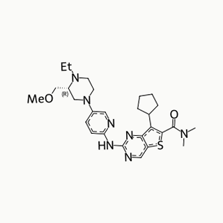 CCN1CCN(c2ccc(Nc3ncc4sc(C(=O)N(C)C)c(C5CCCC5)c4n3)nc2)C[C@@H]1COC